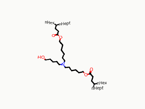 CCCCCCCC(CCCCCC)CCC(=O)OCCCCCCN(CCCCCO)CCCCCCOC(=O)CCC(CCCCCC)CCCCCCC